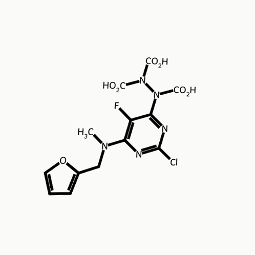 CN(Cc1ccco1)c1nc(Cl)nc(N(C(=O)O)N(C(=O)O)C(=O)O)c1F